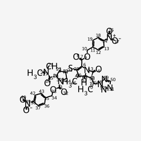 C[C@H]([C@@H]1C(=O)N2C(C(=O)OCc3ccc([N+](=O)[O-])cc3)=C(S[C@H]3C[C@@H](C(=O)N(C)C)N(C(=O)OCc4ccc([N+](=O)[O-])cc4)C3)[C@H](C)[C@@H]12)n1ncnn1